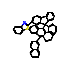 c1ccc(C2(c3c4ccccc4c(-c4ccc5ccccc5c4)c4ccccc34)c3ccccc3-c3ccc(-c4nc5ccccc5s4)cc32)cc1